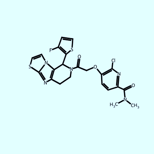 CN(C)C(=O)c1ccc(OCC(=O)N2CCc3nc4sccn4c3C2c2sccc2F)c(Cl)n1